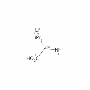 CC(C)[C@H]([NH-])C(=O)O.[Li+]